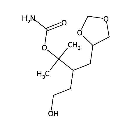 CC(C)(OC(N)=O)C(CCO)CC1COCO1